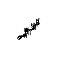 O=C(Nc1cccc(C(F)(F)F)c1)Nc1ncc(CCNc2ncnc3cc(-c4cnn(CCN5CCOCC5)c4)sc23)s1